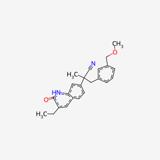 CCc1cc2ccc(C(C)(C#N)Cc3cccc(COC)c3)cc2[nH]c1=O